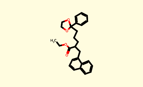 CCOC(=O)C(CCCC1(c2ccccc2)OCCO1)Cc1cccc2ccccc12